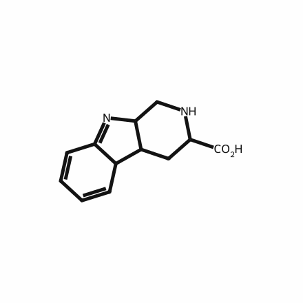 O=C(O)C1CC2C(CN1)N=C1C=CC=CC12